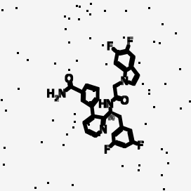 NC(=O)c1cccc(-c2cccnc2[C@H](Cc2cc(F)cc(F)c2)NC(=O)Cn2ccc3cc(F)c(F)cc32)c1